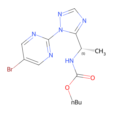 CCCCOC(=O)N[C@@H](C)c1ncnn1-c1ncc(Br)cn1